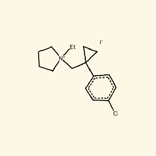 CC[N+]1(CC2(c3ccc(Cl)cc3)CC2)CCCC1.[I-]